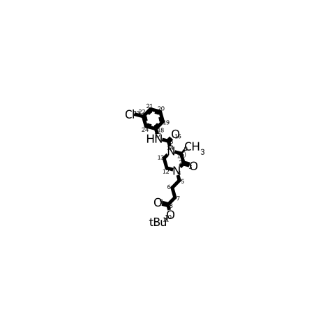 C[C@H]1C(=O)N(CCCC(=O)OC(C)(C)C)CCN1C(=O)Nc1cccc(Cl)c1